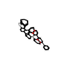 c1ccc(-c2ccc(-c3ccccc3N(c3ccccc3)c3cccc4c5ccc6oc7ccccc7c6c5c5ccccc5c34)cc2)cc1